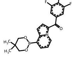 CC1(C)COB(c2cccn3c(C(=O)c4cc(F)c(F)c(F)c4)ccc23)OC1